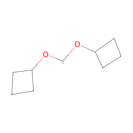 [CH](OC1CCC1)OC1CCC1